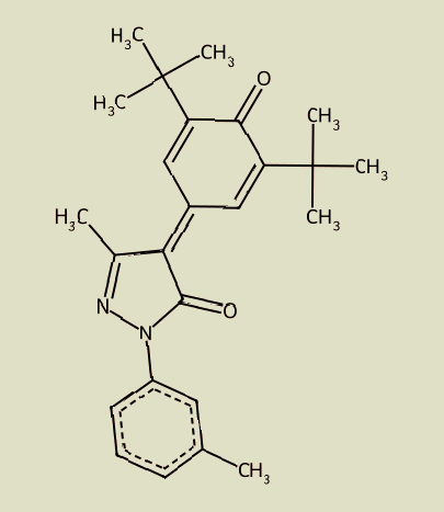 CC1=NN(c2cccc(C)c2)C(=O)C1=C1C=C(C(C)(C)C)C(=O)C(C(C)(C)C)=C1